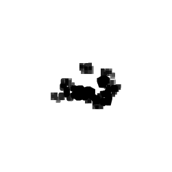 COC[C@@H](C)Oc1cc2nc(-c3nnc4ccc([C@@H](N5CC[C@H](N)C5)C(F)(F)F)cn34)ccc2cc1F.Cl.Cl